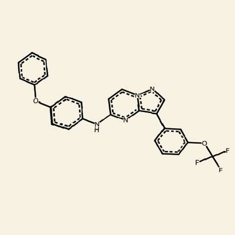 FC(F)(F)Oc1cccc(-c2cnn3ccc(Nc4ccc(Oc5ccccc5)cc4)nc23)c1